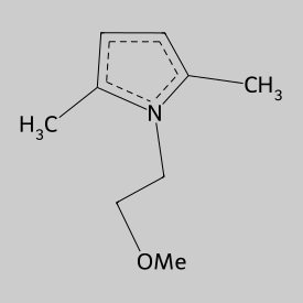 COCCn1c(C)ccc1C